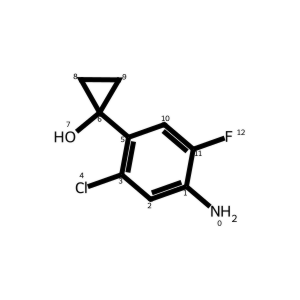 Nc1cc(Cl)c(C2(O)CC2)cc1F